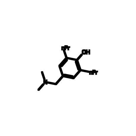 CCCc1cc(CN(C)C)cc(CCC)c1O